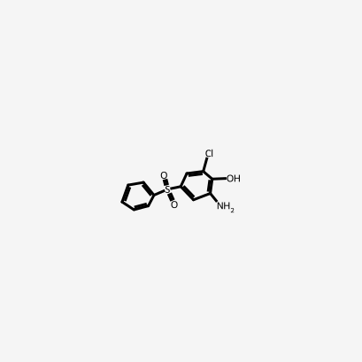 Nc1cc(S(=O)(=O)c2ccccc2)cc(Cl)c1O